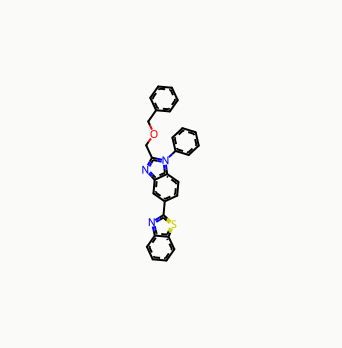 c1ccc(COCc2nc3cc(-c4nc5ccccc5s4)ccc3n2-c2ccccc2)cc1